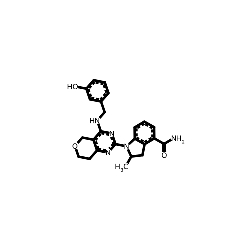 CC1Cc2c(C(N)=O)cccc2N1c1nc2c(c(NCc3cccc(O)c3)n1)COCC2